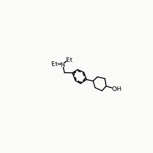 CCN(CC)Cc1ccc(C2CCC(O)CC2)cc1